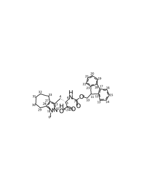 Cn1nc(C[C@H](NC(=O)OCC2c3ccccc3-c3ccccc32)C(=O)O)c2c1CCCCC2